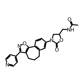 CC(=O)NCC1CN(c2ccc3c(c2)CCCc2c(-c4ccncc4)noc2-3)C(=O)O1